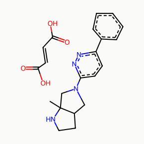 CC12CN(c3ccc(-c4ccccc4)nn3)CC1CCN2.O=C(O)C=CC(=O)O